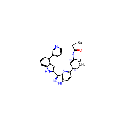 C/C=C(\C=C(/CC)NC(=O)CC(C)(C)C)c1ccc2[nH]nc(-c3cc4c(-c5cccnc5)cccc4[nH]3)c2n1